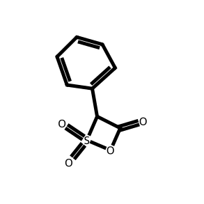 O=C1OS(=O)(=O)C1c1ccccc1